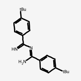 CC(C)(C)c1ccc(C(=N)/N=C(\N)c2ccc(C(C)(C)C)cc2)cc1